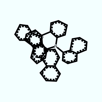 c1ccc(N(c2cccc3ccccc23)c2cccc3c2oc2ccccc23)c(-c2cccc3oc4c5ccccc5ccc4c23)c1